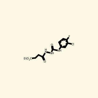 CCOC(=O)CCC(=O)NNC(=O)Nc1ccc(F)c(Cl)c1